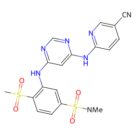 CNS(=O)(=O)c1ccc(S(C)(=O)=O)c(Nc2cc(Nc3ccc(C#N)cn3)ncn2)c1